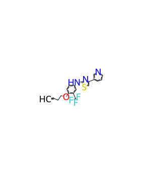 C#CCCOc1ccc(Nc2nc(-c3cccnc3)cs2)cc1C(F)(F)F